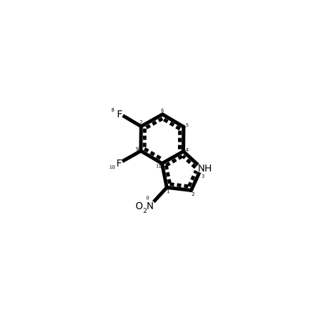 O=[N+]([O-])c1c[nH]c2ccc(F)c(F)c12